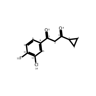 O=C(CC(=O)C1CC1)c1ccc(F)c(Cl)c1